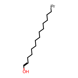 CC(C)CCCCCCCCCCCCC=CO